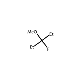 CCC(F)(CC)OC